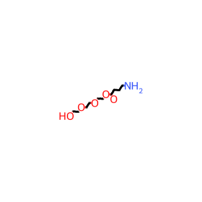 NCCCC(=O)OCCOCCOCCO